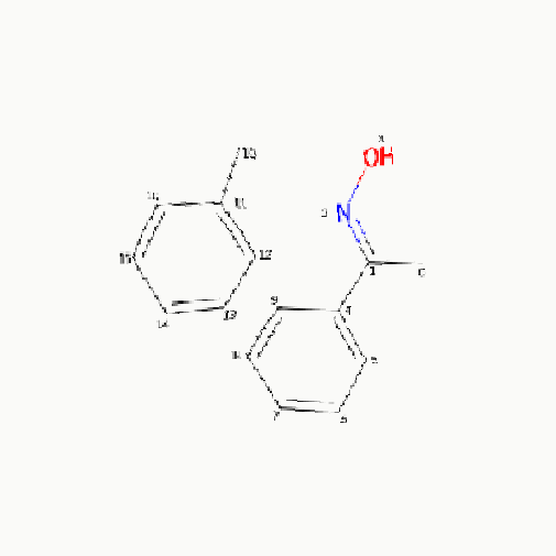 CC(=NO)c1ccccc1.Cc1ccccc1